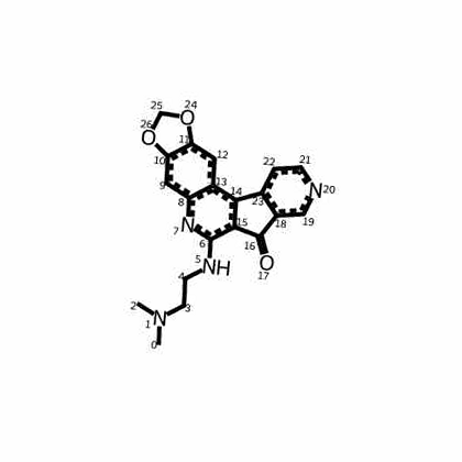 CN(C)CCNc1nc2cc3c(cc2c2c1C(=O)c1cnccc1-2)OCO3